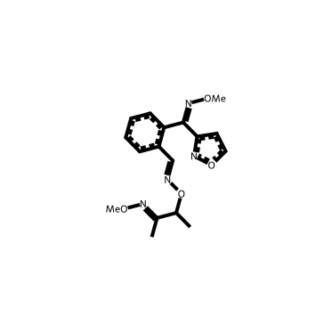 CON=C(c1ccon1)c1ccccc1C=NOC(C)C(C)=NOC